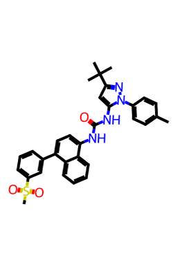 Cc1ccc(-n2nc(C(C)(C)C)cc2NC(=O)Nc2ccc(-c3cccc(S(C)(=O)=O)c3)c3ccccc23)cc1